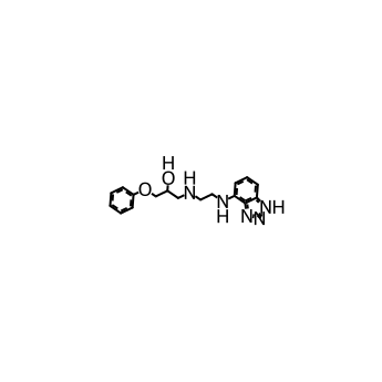 OC(CNCCNc1cccc2[nH]nnc12)COc1ccccc1